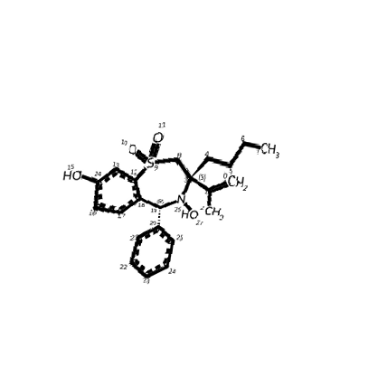 C=C(C)[C@@]1(CCCC)CS(=O)(=O)c2cc(O)ccc2[C@@H](c2ccccc2)N1O